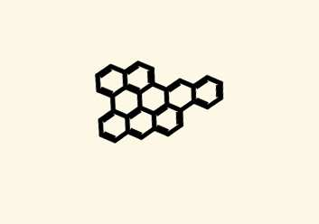 c1ccc2c(c1)cc1c3ccc4cccc5c6cccc7cc8ccc2c1c8c(c76)c3c45